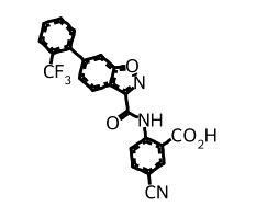 N#Cc1ccc(NC(=O)c2noc3cc(-c4ccccc4C(F)(F)F)ccc23)c(C(=O)O)c1